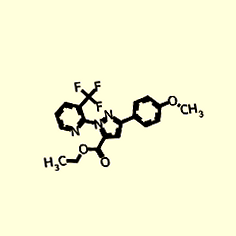 CCOC(=O)c1cc(-c2ccc(OC)cc2)nn1-c1ncccc1C(F)(F)F